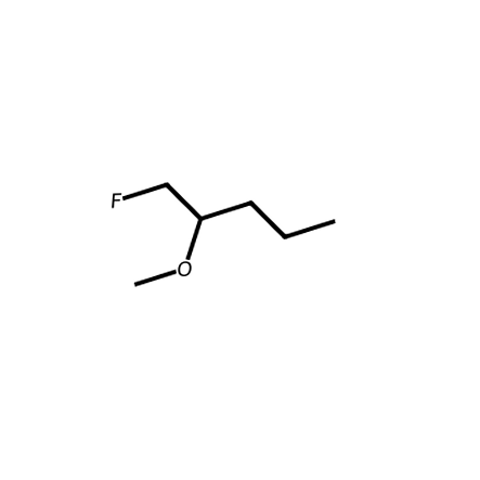 CCCC(CF)OC